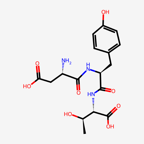 C[C@@H](O)[C@H](NC(=O)[C@H](Cc1ccc(O)cc1)NC(=O)[C@@H](N)CC(=O)O)C(=O)O